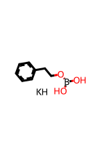 OB(O)OCCc1ccccc1.[KH]